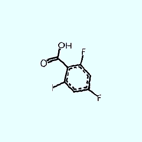 O=C(O)c1c(F)cc(F)cc1I